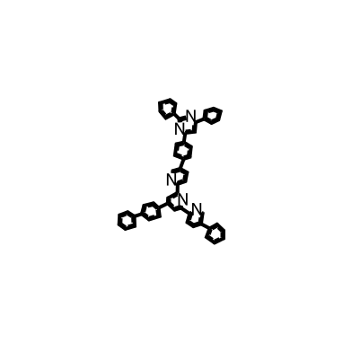 c1ccc(-c2ccc(-c3cc(-c4ccc(-c5ccccc5)cn4)nc(-c4ccc(-c5ccc(-c6cc(-c7ccccc7)nc(-c7ccccc7)n6)cc5)cn4)c3)cc2)cc1